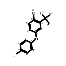 FC(F)(F)c1cc(Oc2ccc(I)cc2)ccc1Cl